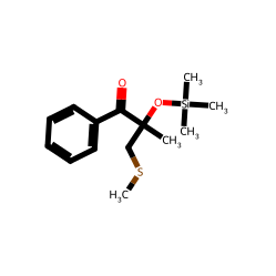 CSCC(C)(O[Si](C)(C)C)C(=O)c1ccccc1